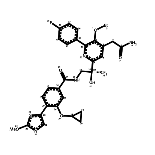 CCOc1c(CC(N)=O)cc([C@@](O)(CNC(=O)c2ccc(-c3cnc(OC)s3)c(OC3CC3)c2)C(F)(F)F)nc1-c1ccc(F)cc1